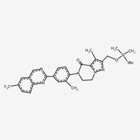 Cc1cc(-c2ncc3cc(C(F)(F)F)ccc3n2)ccc1N1CCn2nc(CO[Si](C)(C)C(C)(C)C)c(C)c2C1=O